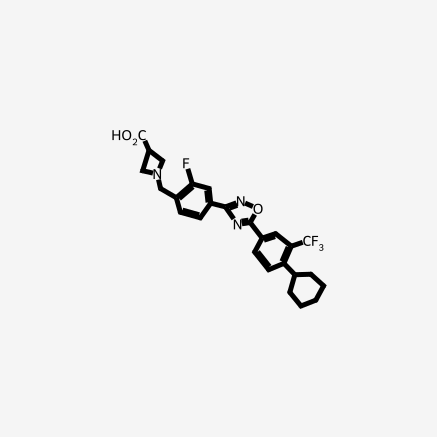 O=C(O)C1CN(Cc2ccc(-c3noc(-c4ccc(C5CCCCC5)c(C(F)(F)F)c4)n3)cc2F)C1